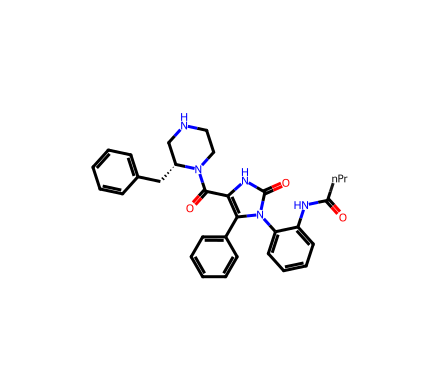 CCCC(=O)Nc1ccccc1-n1c(-c2ccccc2)c(C(=O)N2CCNC[C@H]2Cc2ccccc2)[nH]c1=O